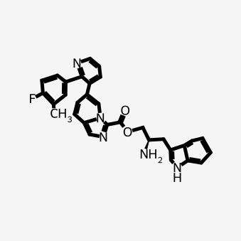 Cc1cc(-c2ncccc2-c2ccc3cnc(C(=O)OC[C@H](N)Cc4c[nH]c5ccccc45)n3c2)ccc1F